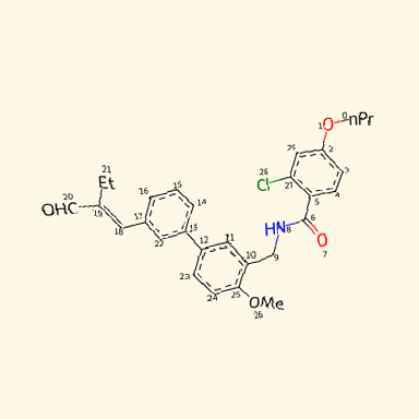 CCCOc1ccc(C(=O)NCc2cc(-c3cccc(/C=C(/C=O)CC)c3)ccc2OC)c(Cl)c1